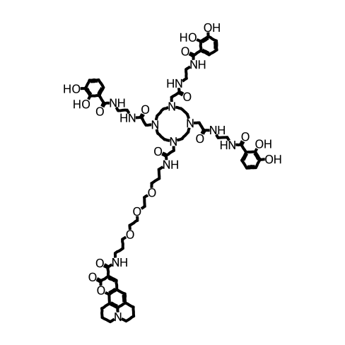 O=C(CN1CCN(CC(=O)NCCNC(=O)c2cccc(O)c2O)CCN(CC(=O)NCCNC(=O)c2cccc(O)c2O)CCN(CC(=O)NCCNC(=O)c2cccc(O)c2O)CC1)NCCCOCCOCCOCCCNC(=O)c1cc2cc3c4c(c2oc1=O)CCCN4CCC3